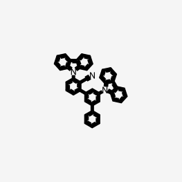 N#Cc1c(-c2cc(-c3ccccc3)cc(-n3c4ccccc4c4ccccc43)c2)cccc1-n1c2ccccc2c2ccccc21